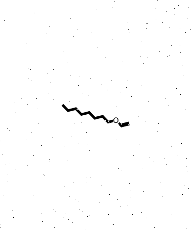 C=COCCCCCCCC